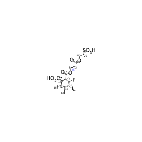 O=C(/C=C/OC(=O)c1c(I)c(I)c(I)c(I)c1C(=O)O)OCCS(=O)(=O)O